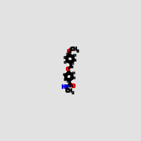 CNC(=O)c1ccc(OCc2ccc(OC)cc2)cc1